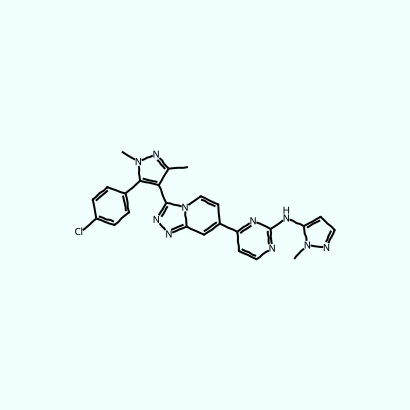 Cc1nn(C)c(-c2ccc(Cl)cc2)c1-c1nnc2cc(-c3ccnc(Nc4ccnn4C)n3)ccn12